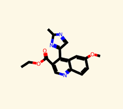 CCOC(=O)c1cnc2ccc(OC)cc2c1C1=NC(C)N=C1